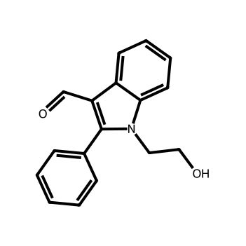 O=Cc1c(-c2ccccc2)n(CCO)c2ccccc12